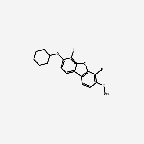 CCCCOc1ccc2c(oc3c(F)c(OC4CCCCC4)ccc32)c1F